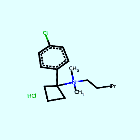 CC(C)CC[N+](C)(C)C1(c2ccc(Cl)cc2)CCC1.Cl